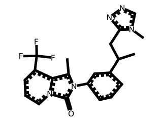 Cc1c2c(C(F)(F)F)cccn2c(=O)n1-c1cccc(C(C)Cc2nncn2C)c1